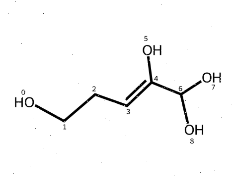 OCCC=C(O)C(O)O